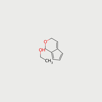 C1=CC2=CCOCC2=C1.CCO